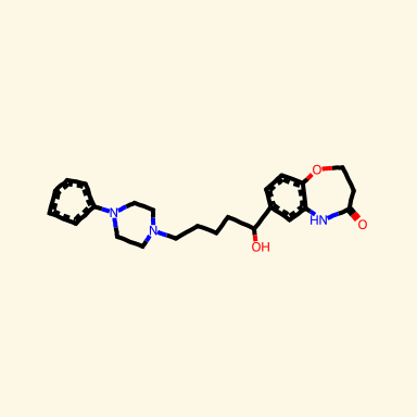 O=C1CCOc2ccc(C(O)CCCCN3CCN(c4ccccc4)CC3)cc2N1